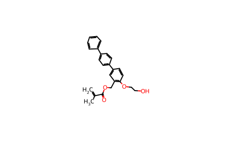 C=C(C)C(=O)OCc1cc(-c2ccc(-c3ccccc3)cc2)ccc1OCCO